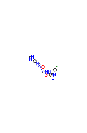 O=C(N[C@H]1CCN(CC(=O)N2CCN(c3ccc(-c4ncccn4)cc3)CC2)C1)c1cc2c(-c3ccc(F)cc3)n[nH]c2s1